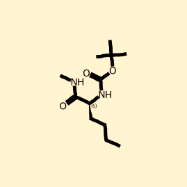 CCCC[C@H](NC(=O)OC(C)(C)C)C(=O)NC